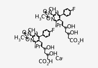 CC(C)c1nc(N(C)S(C)(=O)=O)nc(-c2ccc(F)cc2)c1C=C[C@@H](O)C[C@@H](O)CC(=O)O.CC(C)c1nc(N(C)S(C)(=O)=O)nc(-c2ccc(F)cc2)c1C=C[C@@H](O)C[C@@H](O)CC(=O)O.[Ca]